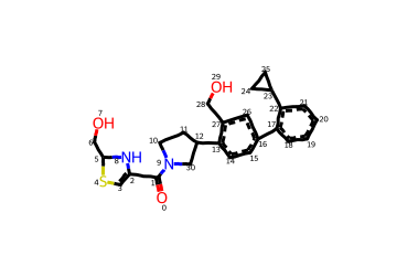 O=C(C1=CSC(CO)N1)N1CCC(c2ccc(-c3ccccc3C3CC3)cc2CO)C1